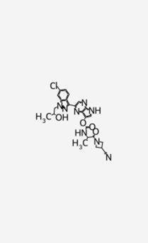 CC(O)Cn1nc(-c2cnc3[nH]cc(OC(=O)N[C@H](C)C(=O)N4CC(C#N)C4)c3n2)c2ccc(Cl)cc21